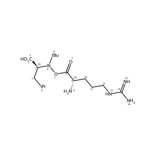 CC(C)C[C@@H](C(=O)O)N(OC(=O)[C@@H](N)CCCNC(=N)N)C(C)(C)C